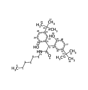 CCCCCCNC(=O)C(c1cc(C(C)(C)C)ccc1O)c1cc(C(C)(C)C)ccc1O